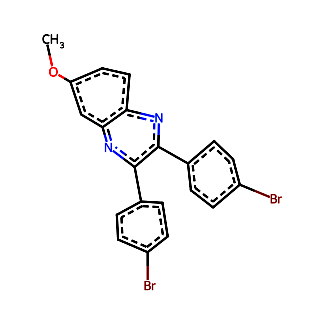 COc1ccc2nc(-c3ccc(Br)cc3)c(-c3ccc(Br)cc3)nc2c1